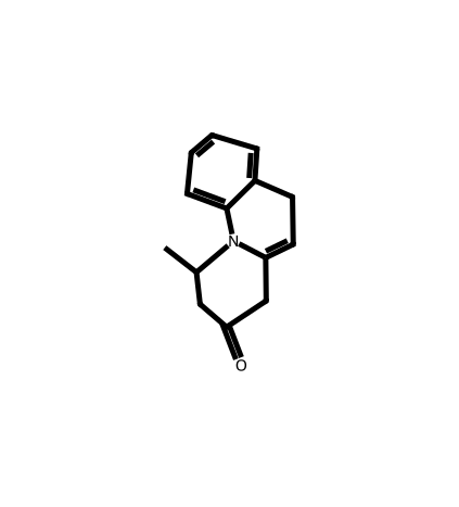 CC1CC(=O)CC2=CCc3ccccc3N21